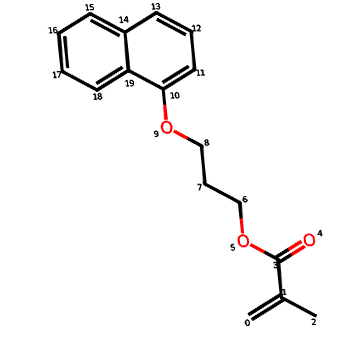 C=C(C)C(=O)OCCCOc1cccc2ccccc12